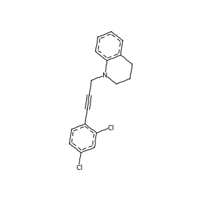 Clc1ccc(C#CCN2CCCc3ccccc32)c(Cl)c1